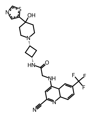 N#CC1=NC2C=CC(C(F)(F)F)=CC2C(NCC(=O)N[C@H]2C[C@@H](N3CCC(O)(c4cncs4)CC3)C2)=C1